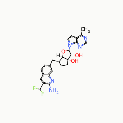 Cc1ncnc2c1ccn2[C@@H]1O[C@@H]2[C@H](Cc3ccc4cc(C(F)F)c(N)nc4c3)CC[C@]2(O)[C@H]1O